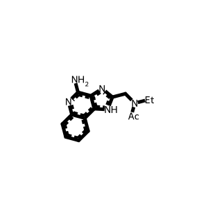 CCN(Cc1nc2c(N)nc3ccccc3c2[nH]1)C(C)=O